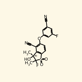 CC1(F)[C@](C)(O)c2c(ccc(Oc3cc(F)cc(C#N)c3)c2C#N)S1(=O)=O